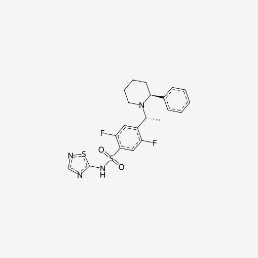 C[C@H](c1cc(F)c(S(=O)(=O)Nc2ncns2)cc1F)N1CCCC[C@H]1c1ccccc1